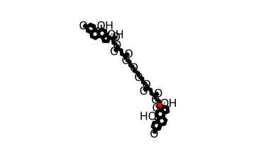 C[C@]12C=CC(=O)C=C1CCC1C2[C@@H](O)C[C@@]2(C)C1CC[C@]2(O)C(=O)COC(=O)CCC(=O)OCCOCCOCCOC(=O)CCC(=O)OCC(=O)[C@@]1(O)CCC2C3CCC4=CC(=O)CC[C@]4(C)C3[C@@H](O)C[C@@]21C